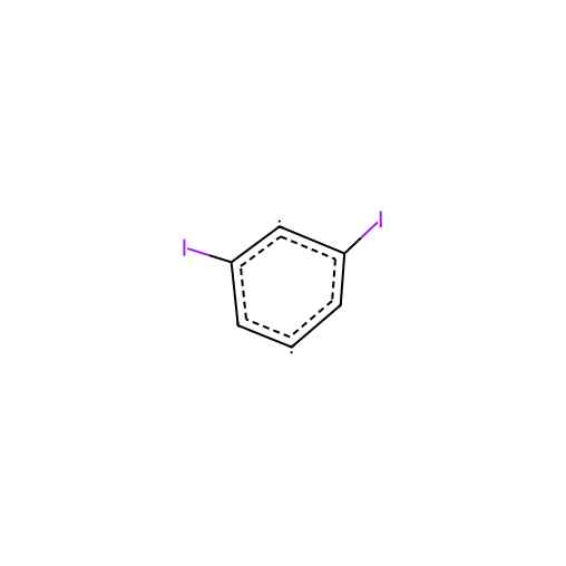 Ic1[c]c(I)c[c]c1